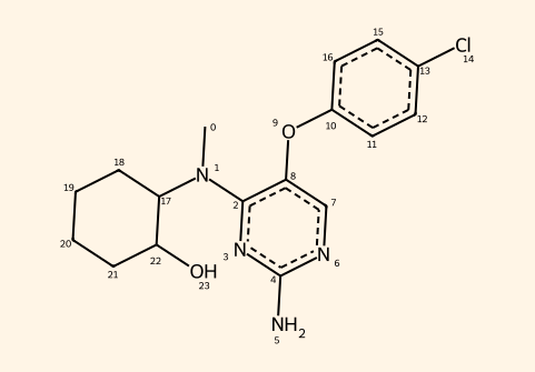 CN(c1nc(N)ncc1Oc1ccc(Cl)cc1)C1CCCCC1O